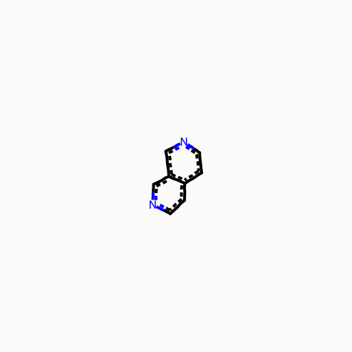 c1cc2ccncc2cn1